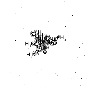 CCOC(=O)C(N)C(=O)NC1CCN(C(=O)[C@@H](CCCCN)NC(=O)[C@@H](CC(C)C)NC(=O)[C@@H](Cc2ccccc2)NC(=O)[C@H](N)Cc2ccccc2)CC1